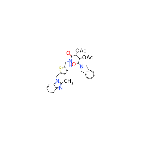 CC(=O)O[C@@H](C(=O)NCc1ccc(Cn2c(C)nc3c2C=CCC3)s1)[C@@H](OC(C)=O)C(=O)N1Cc2ccccc2C1